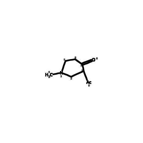 CC(=O)C1CN(C)CCC1=O